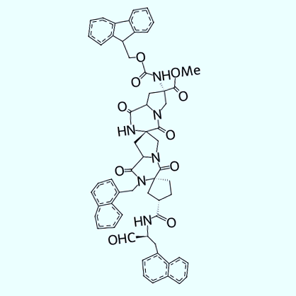 COC(=O)[C@]1(NC(=O)OCC2c3ccccc3-c3ccccc32)CC2C(=O)N[C@]3(CC4C(=O)N(Cc5cccc6ccccc56)[C@@]5(CC[C@H](C(=O)N[C@H](C=O)Cc6cccc7ccccc67)C5)C(=O)N4C3)C(=O)N2C1